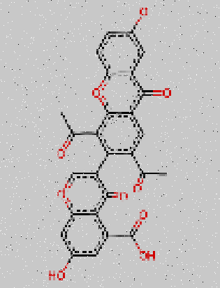 CC(=O)c1cc2c(=O)c3cc(O)ccc3oc2c(C(C)=O)c1-c1coc2cc(O)cc(C(=O)O)c2c1=O